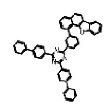 c1ccc(-c2ccc(-c3nc(-c4ccc(-c5ccccc5)cc4)nc(-c4cccc(-c5cccc6ccc7c8ccccc8oc7c56)c4)n3)cc2)cc1